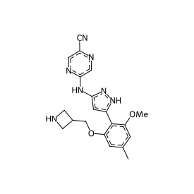 COc1cc(C)cc(OCC2CNC2)c1-c1cc(Nc2cnc(C#N)cn2)n[nH]1